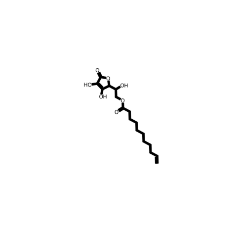 C=CCCCCCCCCC(=O)OCC(O)C1OC(=O)C(O)=C1O